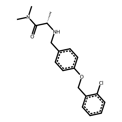 C[C@H](NCc1ccc(OCc2ccccc2Cl)cc1)C(=O)N(C)C